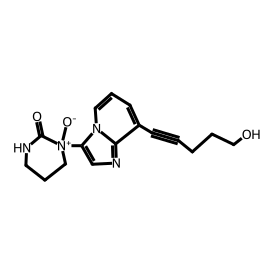 O=C1NCCC[N+]1([O-])c1cnc2c(C#CCCCO)cccn12